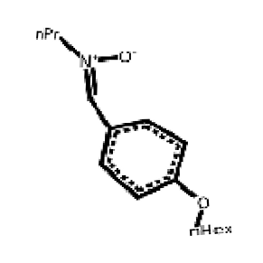 CCCCCCOc1ccc(C=[N+]([O-])CCC)cc1